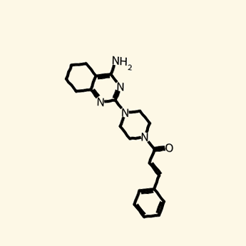 Nc1nc(N2CCN(C(=O)/C=C/c3ccccc3)CC2)nc2c1CCCC2